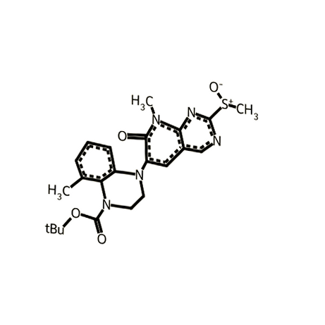 Cc1cccc2c1N(C(=O)OC(C)(C)C)CCN2c1cc2cnc([S+](C)[O-])nc2n(C)c1=O